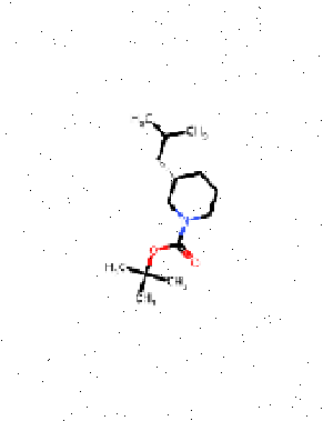 CC(C)C[C@@H]1CCCN(C(=O)OC(C)(C)C)C1